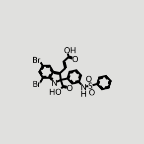 O=C(O)C=CC1=c2cc(Br)cc(Br)c2=NC1(C(=O)O)c1cccc(NS(=O)(=O)c2ccccc2)c1